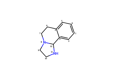 c1ccc2c(c1)CCN1CCNC21